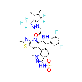 Cc1nc2nc(C(Cc3cc(F)cc(F)c3)NC(=O)Cn3nc(C(F)(F)F)c4c3C(F)(F)[C@H](C)[C@@H]4C)c(-c3cccc4c(NS(C)(=O)=O)nn(C)c34)cc2s1